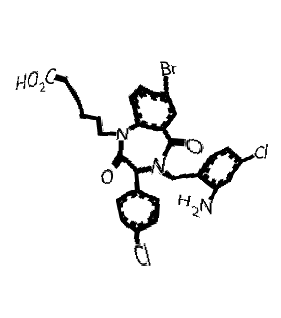 Nc1cc(Cl)ccc1CN1C(=O)c2cc(Br)ccc2N(CCCCC(=O)O)C(=O)C1c1ccc(Cl)cc1